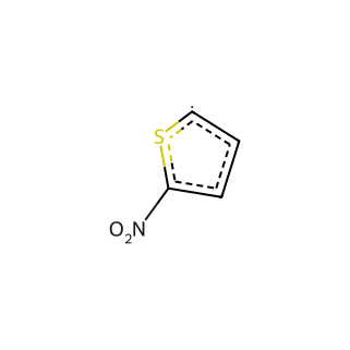 O=[N+]([O-])c1cc[c]s1